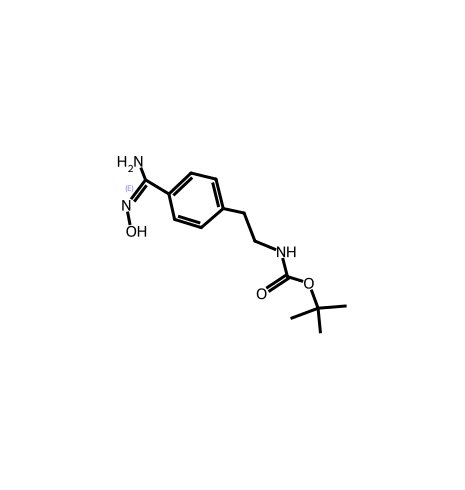 CC(C)(C)OC(=O)NCCc1ccc(/C(N)=N\O)cc1